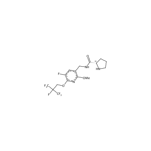 COc1nc(OCC(F)(C(F)(F)F)C(F)(F)F)c(F)cc1CNC(=O)[C@@H]1CCCN1